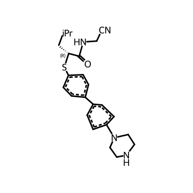 CC(C)C[C@@H](Sc1ccc(-c2ccc(N3CCNCC3)cc2)cc1)C(=O)NCC#N